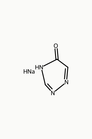 O=c1cnnc[nH]1.[NaH]